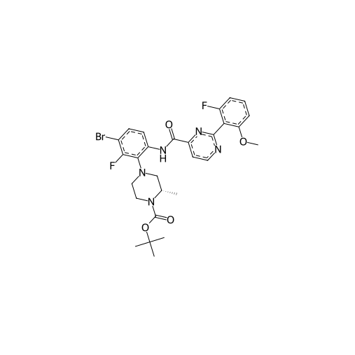 COc1cccc(F)c1-c1nccc(C(=O)Nc2ccc(Br)c(F)c2N2CCN(C(=O)OC(C)(C)C)[C@@H](C)C2)n1